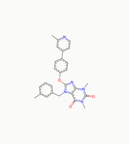 Cc1cccc(Cn2c(Oc3ccc(-c4ccnc(C)c4)cc3)nc3c2c(=O)n(C)c(=O)n3C)c1